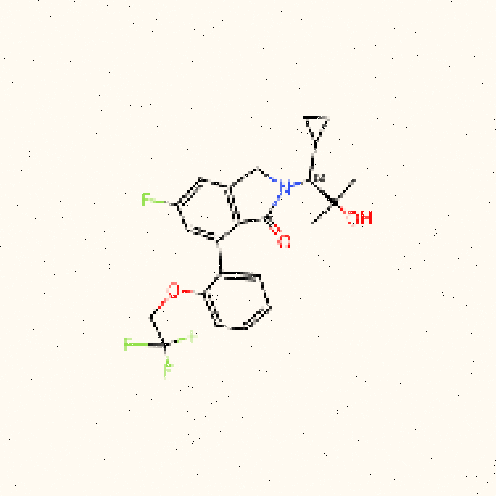 CC(C)(O)[C@H](C1CC1)N1Cc2cc(F)cc(-c3ccccc3OCC(F)(F)F)c2C1=O